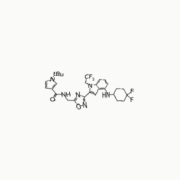 CC(C)(C)n1ccc(C(=O)NCc2nc(-c3cc4c(NC5CCC(F)(F)CC5)cccc4n3CC(F)(F)F)no2)c1